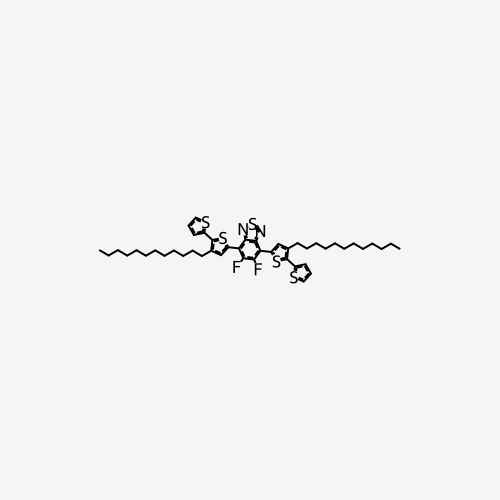 CCCCCCCCCCCCc1cc(-c2c(F)c(F)c(-c3cc(CCCCCCCCCCCC)c(-c4cccs4)s3)c3nsnc23)sc1-c1cccs1